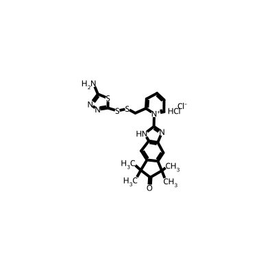 CC1(C)C(=O)C(C)(C)c2cc3[nH]c(-[n+]4ccccc4CSSc4nnc(N)s4)nc3cc21.Cl.[Cl-]